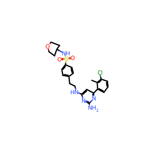 Cc1c(Cl)cccc1-c1cc(NCCc2ccc(S(=O)(=O)NC3CCOCC3)cc2)nc(N)n1